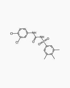 Cc1cc(S(=O)(=O)NC(=O)Nc2ccc(Cl)c(Cl)c2)cc(C)c1C